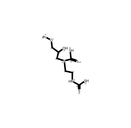 CC(C)OCC(O)CN(CCNC(=S)S)C(=S)S